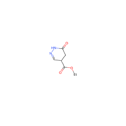 CCOC(=O)C1C=NNC(=O)C1